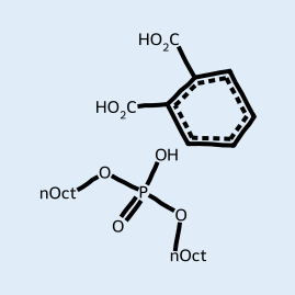 CCCCCCCCOP(=O)(O)OCCCCCCCC.O=C(O)c1ccccc1C(=O)O